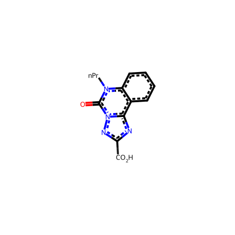 CCCn1c(=O)n2nc(C(=O)O)nc2c2ccccc21